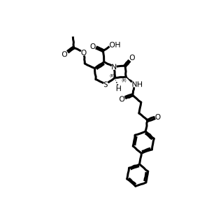 CC(=O)OCC1=C(C(=O)O)N2C(=O)[C@@H](NC(=O)CCC(=O)c3ccc(-c4ccccc4)cc3)[C@H]2SC1